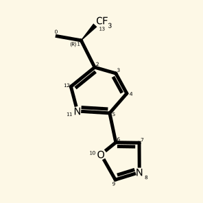 C[C@H](c1ccc(-c2cnco2)nc1)C(F)(F)F